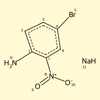 Nc1ccc(Br)cc1[N+](=O)[O-].[NaH]